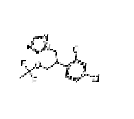 CC(F)(F)OCC(Cn1cncn1)c1ccc(Cl)cc1Cl